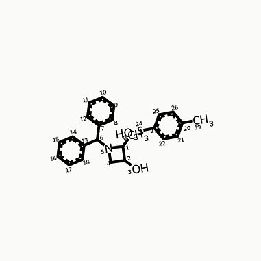 CC1C(O)CN1C(c1ccccc1)c1ccccc1.Cc1ccc(S(=O)(=O)O)cc1